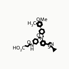 COc1ccc([C@H]2CC[C@H](CN(c3cccc(-c4cnc(C5CC5)s4)c3)C(=O)[C@H]3CC[C@H](NC(=O)CCC(=O)O)CC3)CC2)cc1C